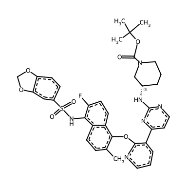 Cc1ccc2c(NS(=O)(=O)c3ccc4c(c3)OCO4)c(F)ccc2c1Oc1ncccc1-c1ccnc(N[C@H]2CCCN(C(=O)OC(C)(C)C)C2)n1